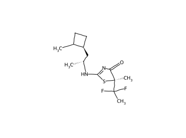 CC1CC[C@H]1C[C@@H](C)NC1=NC(=O)[C@@](C)(C(C)(F)F)S1